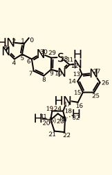 Cc1[nH]ncc1-c1ccc2nc(Nc3cc(CNC4C[C@H]5CC[C@H]4C5)ccn3)sc2n1